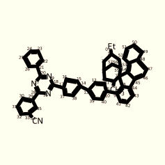 CCC1CC2CC(C)C3(c4c(-c5ccc(-c6ccc(-c7nc(-c8ccccc8)nc(-c8cccc(C#N)c8)n7)cc6)cc5)cccc4-c4ccc5ccccc5c43)C(C1)C2